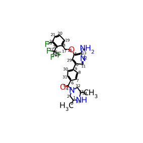 CC1CN(C(=O)c2ccc(-c3cnc(N)c(OCc4cccc(F)c4C(F)(F)F)c3)cc2)CC(C)N1